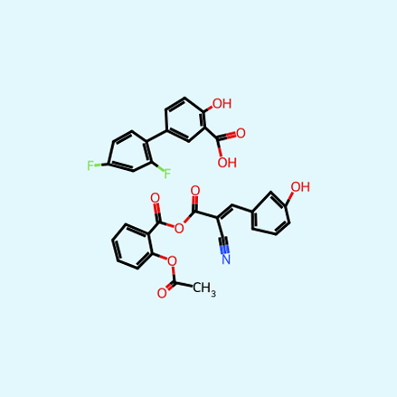 CC(=O)Oc1ccccc1C(=O)OC(=O)C(C#N)=Cc1cccc(O)c1.O=C(O)c1cc(-c2ccc(F)cc2F)ccc1O